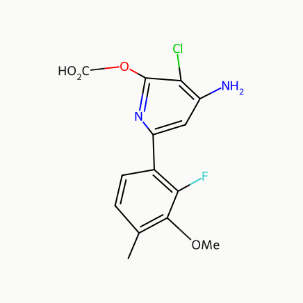 COc1c(C)ccc(-c2cc(N)c(Cl)c(OC(=O)O)n2)c1F